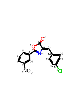 O=C1OC(c2cccc([N+](=O)[O-])c2)=NC1=Cc1ccc(Cl)cc1